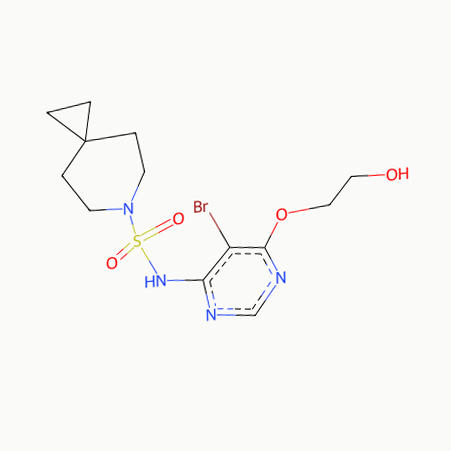 O=S(=O)(Nc1ncnc(OCCO)c1Br)N1CCC2(CC1)CC2